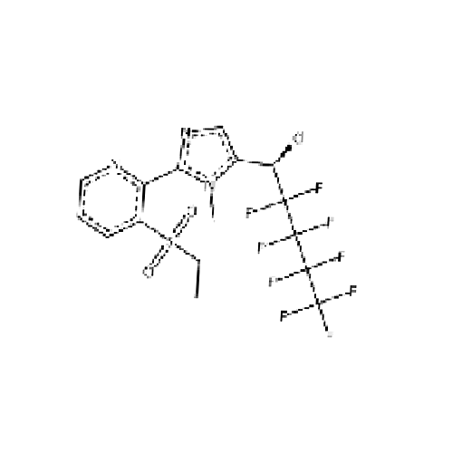 CCS(=O)(=O)c1cccnc1-c1ncc([C@@H](Cl)C(F)(F)C(F)(F)C(F)(F)C(F)(F)F)n1C